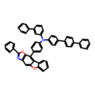 c1ccc(-c2ccc(-c3ccc(N(c4ccc(-c5c6oc(-c7ccccc7)nc6cc6oc7ccccc7c56)cc4)c4cccc(-c5ccccc5)c4)cc3)cc2)cc1